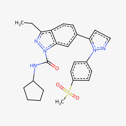 CCc1nn(C(=O)NC2CCCC2)c2cc(-c3ccnn3-c3ccc(S(C)(=O)=O)cc3)ccc12